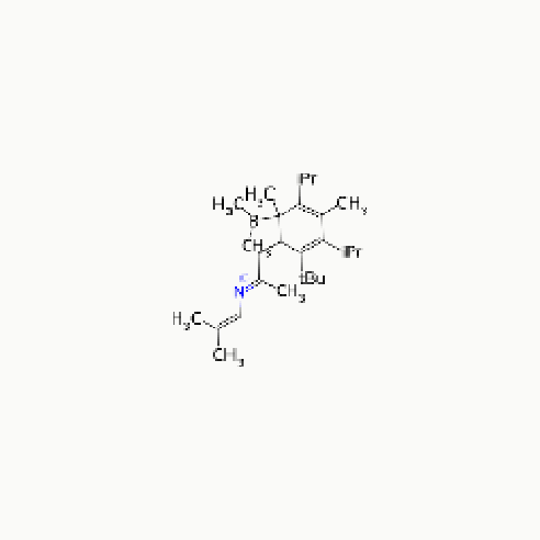 CB(C)C1(C)C(C(C)C)=C(C)C(C(C)C)=C(C(C)(C)C)C1C/C(C)=N/C=C(C)C